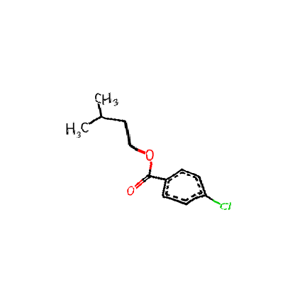 CC(C)CCOC(=O)c1ccc(Cl)cc1